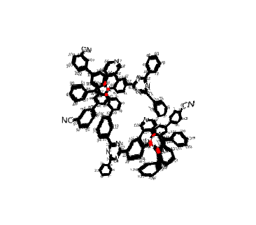 N#Cc1ccc(-c2ccc3c(c2)c2ccccc2n3-c2ccc(-c3nc(-c4ccccc4)nc(-c4cccc(-c5cccc(-c6nc(-c7ccccc7)nc(-c7ccncc7-c7cc(-c8nc(-c9ccccc9)nc(-c9ccccc9)n8)ccc7-n7c8ccc(-c9cccc(C#N)c9)cc8c8cc(-c9cccc(C#N)c9)ccc87)n6)c5)c4)n3)cc2-c2cnccc2-c2nc(-c3ccccc3)nc(-c3ccccc3)n2)cc1